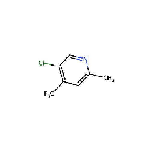 Cc1cc(C(F)(F)F)c(Cl)cn1